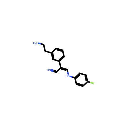 N=C/C(=C\Nc1ccc(F)cc1)c1cccc(CCN)c1